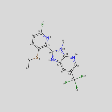 CCSc1ccc(F)nc1-c1nc2cc(C(F)(F)F)cnc2n1C